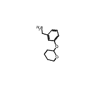 BCc1cccc(OC2CCCCO2)c1